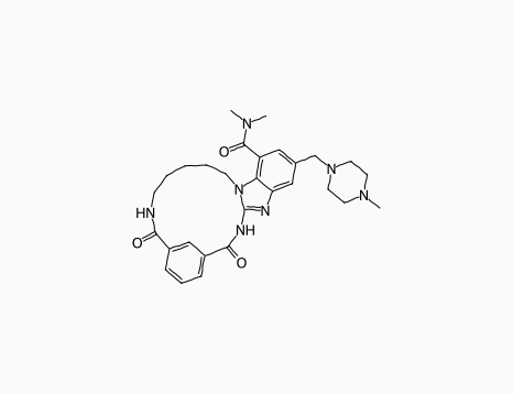 CN1CCN(Cc2cc(C(=O)N(C)C)c3c(c2)nc2n3CCCCCNC(=O)c3cccc(c3)C(=O)N2)CC1